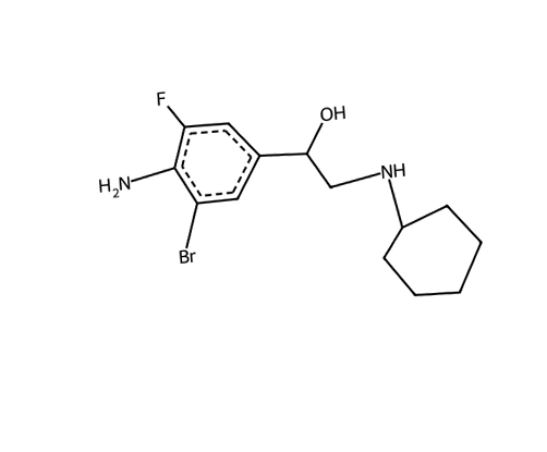 Nc1c(F)cc(C(O)CNC2CCCCC2)cc1Br